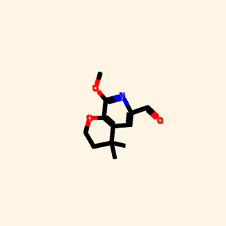 COc1nc(C=O)cc2c1OCCC2(C)C